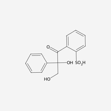 O=C(c1ccccc1S(=O)(=O)O)C(O)(CO)c1ccccc1